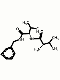 CC(C)[C@H](N)C(=O)N[C@H](C(=O)NCc1ccccc1)C(C)C